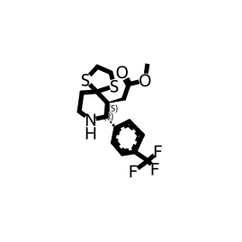 COC(=O)C[C@H]1[C@H](c2ccc(C(F)(F)F)cc2)NCCC12SCCS2